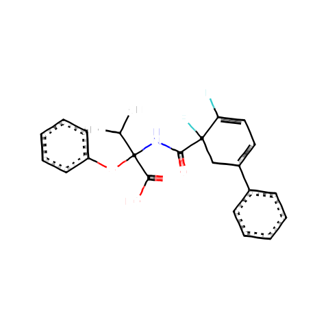 CC(C)C(NC(=O)C1(F)CC(c2ccccc2)=CC=C1F)(Oc1ccccc1)C(=O)O